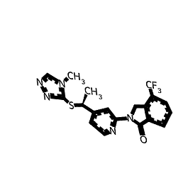 C[C@H](Sc1nncn1C)c1ccnc(N2Cc3c(cccc3C(F)(F)F)C2=O)c1